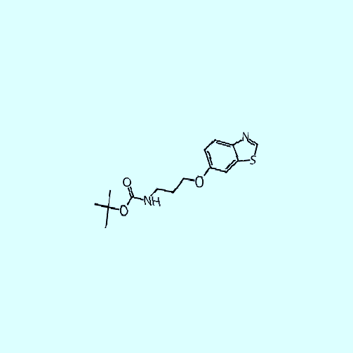 CC(C)(C)OC(=O)NCCCOc1ccc2ncsc2c1